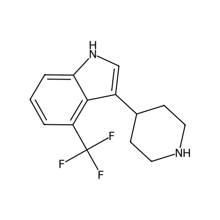 FC(F)(F)c1cccc2[nH]cc(C3CCNCC3)c12